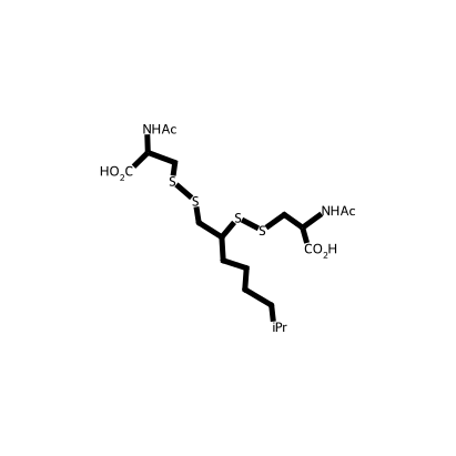 CC(=O)NC(CSSCC(CCCCC(C)C)SSCC(NC(C)=O)C(=O)O)C(=O)O